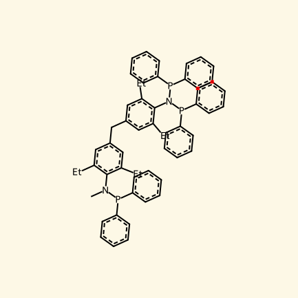 CCc1cc(Cc2cc(CC)c(N(P(c3ccccc3)c3ccccc3)P(c3ccccc3)c3ccccc3)c(CC)c2)cc(CC)c1N(C)P(c1ccccc1)c1ccccc1